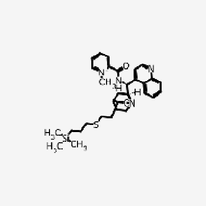 C[n+]1ccccc1C(=O)N[C@@H](c1ccnc2ccccc12)[C@@H]1CC2CCN1CC2CCSCCC[Si](C)(C)C